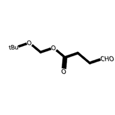 CC(C)(C)OCOC(=O)CCC=O